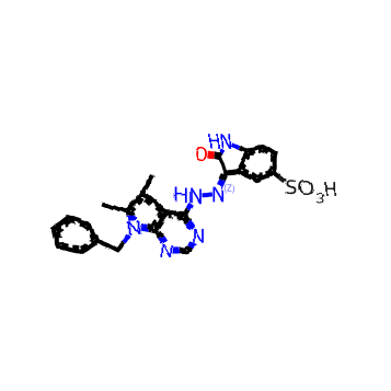 Cc1c(C)n(Cc2ccccc2)c2ncnc(N/N=C3\C(=O)Nc4ccc(S(=O)(=O)O)cc43)c12